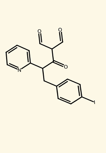 O=CC(C=O)C(=O)C(Cc1ccc(I)cc1)c1ccccn1